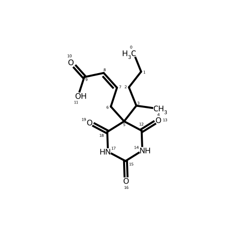 CCCC(C)C1(CC=CC(=O)O)C(=O)NC(=O)NC1=O